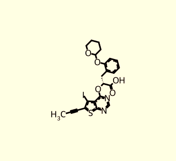 CC#Cc1sc2ncnc(O[C@H](Cc3ccccc3OC3CCCCO3)C(=O)O)c2c1I